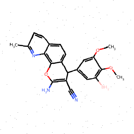 Bc1cc(C2C(C#N)=C(N)Oc3c2ccc2ccc(C)nc32)cc(OC)c1OC